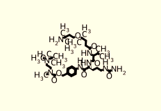 CC(C)C(NC(=O)CCC(C)(C)OCCC(C)(C)N)C(=O)N[C@@H](CCCNC(N)=O)C(=O)Nc1ccc(COC(=O)N(C)CCN(C)C(C)(C)C)cc1